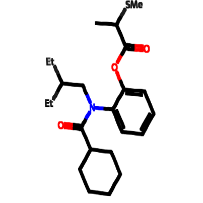 CCC(CC)CN(C(=O)C1CCCCC1)c1ccccc1OC(=O)C(C)SC